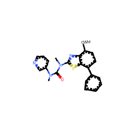 COc1ccc(-c2ccccc2)c2sc(N(C)C(=O)N(C)c3cccnc3)nc12